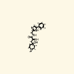 CN1CCC(O)(CC(=N)C(=O)NCc2ncc(-c3ccccc3)[nH]2)CC1